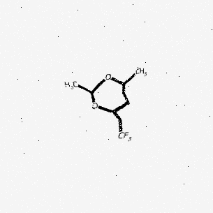 CC1CC(C(F)(F)F)OC(C)O1